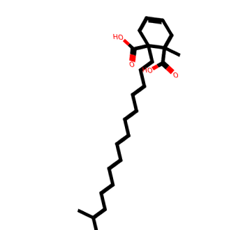 CC(C)CCCCCCCCCCCCCC1(C(=O)O)CC=CCC1(C)C(=O)O